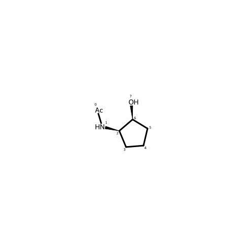 CC(=O)N[C@@H]1CCC[C@@H]1O